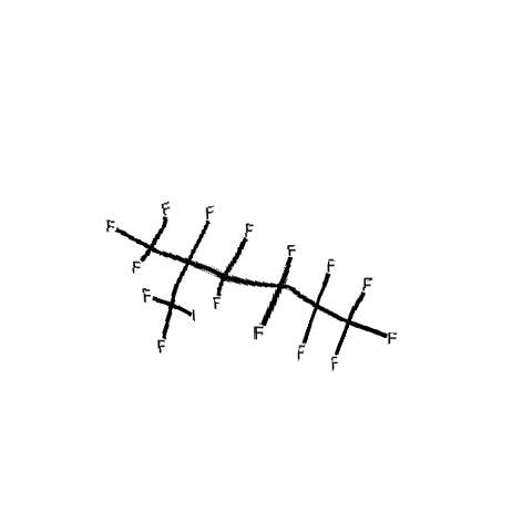 FC(F)(F)C(F)(F)C(F)(F)C(F)(F)C(F)(C(F)(F)F)C(F)(F)I